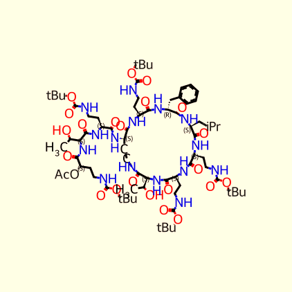 CC(=O)O[C@@H](CCNC(=O)OC(C)(C)C)C(=O)N[C@H](C(=O)N[C@@H](CCNC(=O)OC(C)(C)C)C(=O)N[C@H]1CCNC(=O)[C@H](C(C)O)NC(=O)[C@H](CCNC(=O)OC(C)(C)C)NC(=O)[C@H](CCNC(=O)OC(C)(C)C)NC(=O)[C@H](CC(C)C)NC(=O)[C@@H](Cc2ccccc2)NC(=O)[C@H](CCNC(=O)OC(C)(C)C)NC1=O)C(C)O